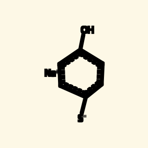 Oc1ccc([S-])cc1.[Na+]